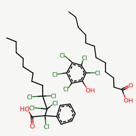 CCCCCCCCC(Cl)(Cl)C(Cl)(Cl)C(Cl)(C(=O)O)c1ccccc1.CCCCCCCCCCCC(=O)O.Oc1c(Cl)c(Cl)c(Cl)c(Cl)c1Cl